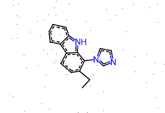 CCc1ccc2c([nH]c3ccccc32)c1-n1ccnc1